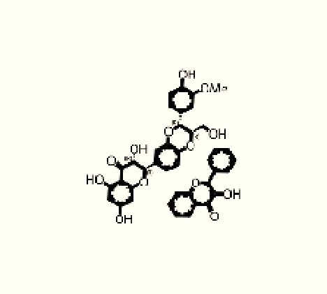 COc1cc([C@H]2Oc3cc([C@H]4Oc5cc(O)cc(O)c5C(=O)[C@@H]4O)ccc3O[C@@H]2CO)ccc1O.O=c1c(O)c(-c2ccccc2)oc2ccccc12